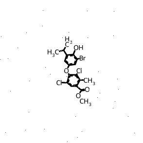 COC(=O)c1cc(Cl)c(Oc2cc(Br)c(O)c(C(C)C)c2)c(Cl)c1C